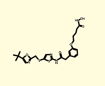 CC(C)(C)c1cnc(CSc2cnc(NC(=O)Cc3cccc(OCCCCC(=O)NO)c3)s2)o1